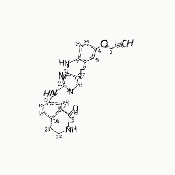 C#CCOc1ccc(Nc2nc(Nc3ccc4c(c3)C(=O)NCC4)ncc2F)cc1